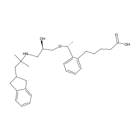 C[C@@H](OC[C@H](O)CNC(C)(C)CC1Cc2ccccc2C1)c1ccccc1CCCCC(=O)O